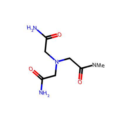 CNC(=O)CN(CC(N)=O)CC(N)=O